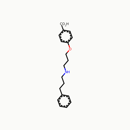 O=C(O)c1ccc(OCCCNCCCc2ccccc2)cc1